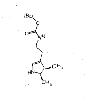 C[C@@H]1C(CCNC(=O)OC(C)(C)C)=CN[C@@H]1C